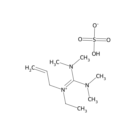 C=CC[N+](CC)=C(N(C)C)N(C)C.O=S(=O)([O-])O